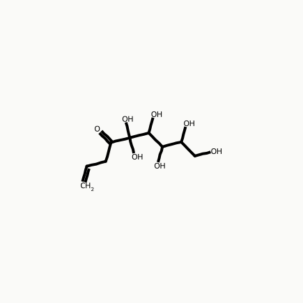 C=CCC(=O)C(O)(O)C(O)C(O)C(O)CO